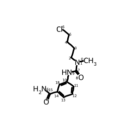 CN(CCCCCl)C(=O)Nc1cccc(C(N)=O)c1